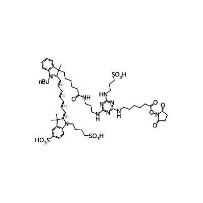 CCCC[N+]1=C(/C=C/C=C/C=C/C=C2/N(CCCCS(=O)(=O)O)c3ccc(S(=O)(=O)O)cc3C2(C)C)C(C)(CCCCCC(=O)NCCCNc2nc(NCCCCCC(=O)ON3C(=O)CCC3=O)nc(NCCCS(=O)(=O)O)n2)c2ccccc21